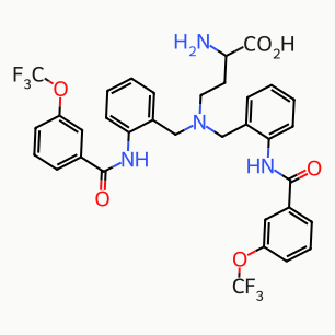 NC(CCN(Cc1ccccc1NC(=O)c1cccc(OC(F)(F)F)c1)Cc1ccccc1NC(=O)c1cccc(OC(F)(F)F)c1)C(=O)O